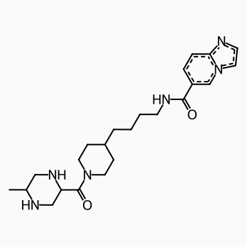 CC1CNC(C(=O)N2CCC(CCCCNC(=O)c3ccc4nccn4c3)CC2)CN1